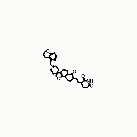 O=C1CCC(CCC2CCc3c(ccc4c3OCC43CCN(Cc4cccc5c4CCCO5)CC3)C2=O)C(=O)N1